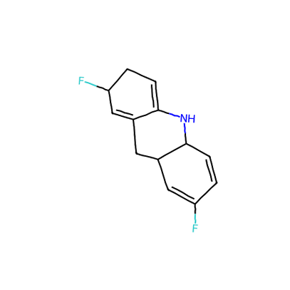 FC1=CC2CC3=CC(F)CC=C3NC2C=C1